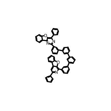 c1ccc(-c2cc3c(oc4ccccc43)c(-c3cccc(-c4cccc(-c5cccc(-c6cccc(-c7nc(-c8ccccc8)c8oc9ccccc9c8n7)c6)c5)c4)c3)n2)cc1